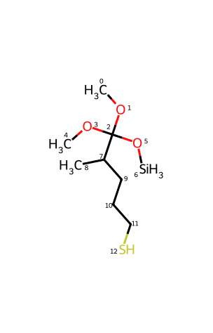 COC(OC)(O[SiH3])C(C)CCCS